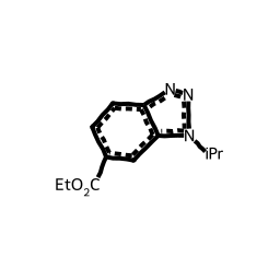 CCOC(=O)c1ccc2nnn(C(C)C)c2c1